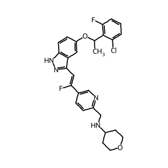 CC(Oc1ccc2[nH]nc(/C=C(\F)c3ccc(CNC4CCOCC4)nc3)c2c1)c1c(F)cccc1Cl